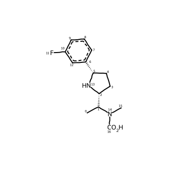 CC([C@H]1CC[C@@H](c2cccc(F)c2)N1)N(C)C(=O)O